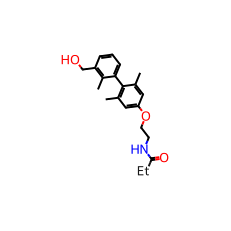 CCC(=O)NCCOc1cc(C)c(-c2cccc(CO)c2C)c(C)c1